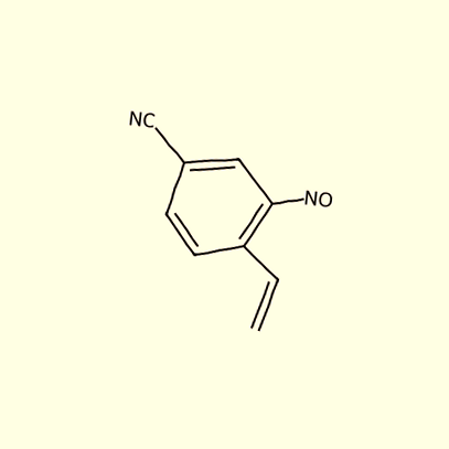 C=Cc1ccc(C#N)cc1N=O